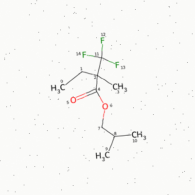 CCC(C)(C(=O)OCC(C)C)C(F)(F)F